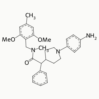 COc1cc(C)cc(OC)c1CN(C)C(=O)C(c1ccccc1)C1CCN(c2ccc(N)cc2)CC1